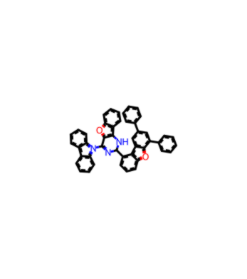 c1ccc(-c2cc(-c3ccccc3)c3oc4cccc(C5N=C(n6c7ccccc7c7ccccc76)c6oc7ccccc7c6N5)c4c3c2)cc1